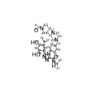 CC(=O)N1CCC(CN2CCN(Cc3ccc(-n4c(C(=O)NC(C)C)nnc4-c4cc(C(C)C)c(O)cc4O)cc3)CC2)CC1